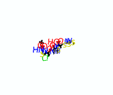 CSc1nnc(SCC2=C(C(=O)O)N3C(=O)C(NC(=O)C(=CCl)c4csc(NC(=O)OC(C)(C)C)n4)[C@@H]3SC2)s1